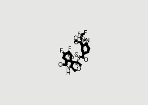 COc1c2cc(C(=O)N(C)[C@H]3COCc4[nH]c(=O)c5cc(F)c(F)cc5c43)ccc2nn1C(F)F